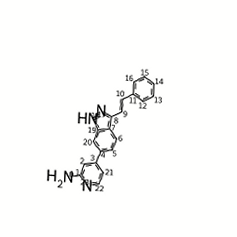 Nc1cc(-c2ccc3c(C=Cc4ccccc4)n[nH]c3c2)ccn1